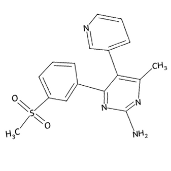 Cc1nc(N)nc(-c2cccc(S(C)(=O)=O)c2)c1-c1cccnc1